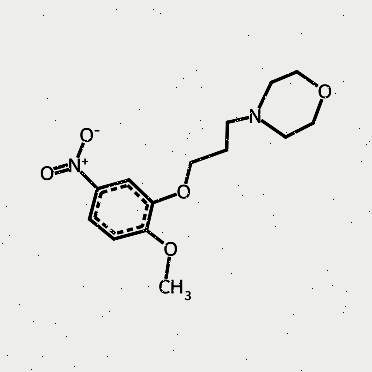 COc1ccc([N+](=O)[O-])cc1OCCCN1CCOCC1